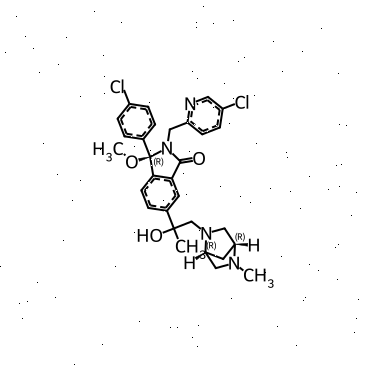 CO[C@]1(c2ccc(Cl)cc2)c2ccc(C(C)(O)CN3C[C@H]4C[C@@H]3CN4C)cc2C(=O)N1Cc1ccc(Cl)cn1